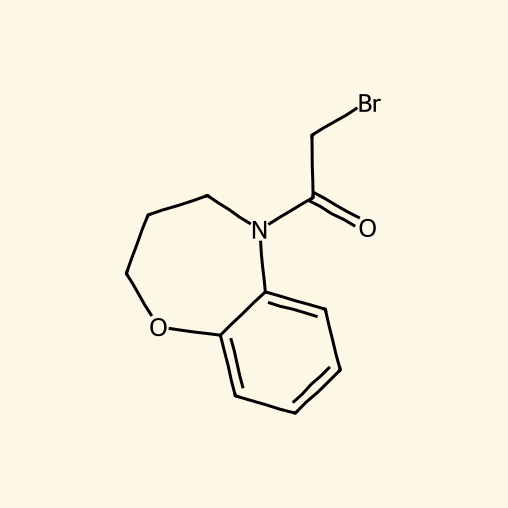 O=C(CBr)N1CCCOc2ccccc21